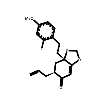 C=CC[C@H]1C[C@]2(CCc3ccc(OC)cc3F)OCOC2=CC1=O